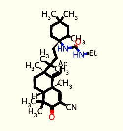 CCNC(=O)N[C@]1(CCC(C)(C)[C@]2(C)CC[C@H]3C(C)(C)C(=O)C(C#N)=C[C@]3(C)/C2=C/C(C)=O)CCC(C)(C)CC1C